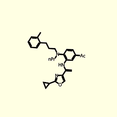 C=C(Nc1cc(C(C)=O)ccc1N(CCC)CCCc1ccccc1C)c1coc(C2CC2)n1